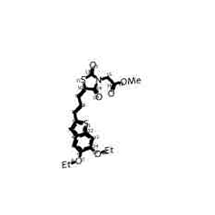 CCOc1cc2cc(C=CC=C3SC(=O)N(CC(=O)OC)C3=O)sc2cc1OCC